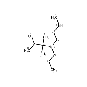 CCCN(CCNC)C(C)(C)C(C)C